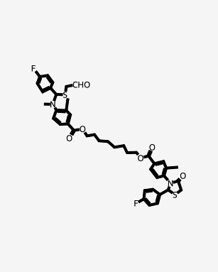 Cc1cc(C(=O)OCCCCCCCCOC(=O)c2ccc(N3C(=O)CSC3c3ccc(F)cc3)c(C)c2)ccc1N(C)C(SCC=O)c1ccc(F)cc1